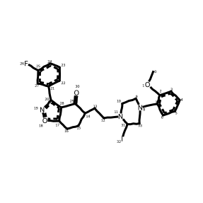 COc1ccccc1N1CCN(CCC2CCc3onc(-c4cccc(F)c4)c3C2=O)C(I)C1